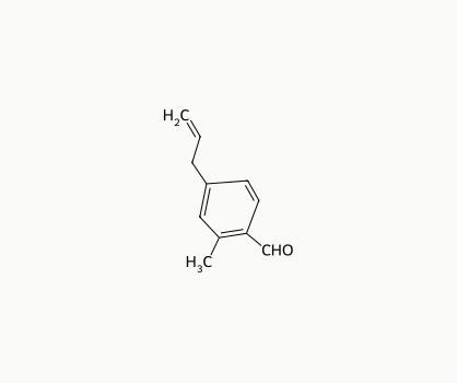 C=CCc1ccc(C=O)c(C)c1